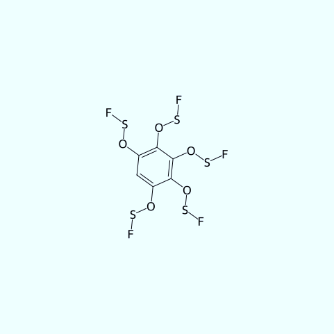 FSOc1cc(OSF)c(OSF)c(OSF)c1OSF